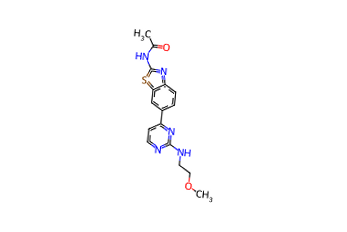 COCCNc1nccc(-c2ccc3nc(NC(C)=O)sc3c2)n1